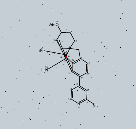 COC1CCC2(CC1)Cc1ccc(-c3ccnc(Cl)c3)cc1C21N=C(N)N(C(C)C)C1=O